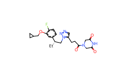 CC[C@@H](Cn1nncc1CCC(=O)N1CC(=O)NC(=O)C1)c1ccc(F)c(OCC2CC2)c1